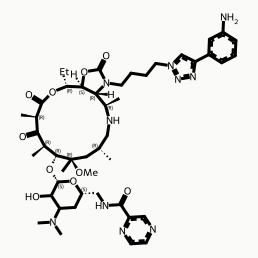 CC[C@H]1OC(=O)[C@H](C)C(=O)[C@H](C)[C@@H](O[C@@H]2O[C@H](CNC(=O)c3cnccn3)CC(N(C)C)C2O)[C@](C)(OC)C[C@@H](C)CN[C@H](C)[C@@H]2[C@@H]1OC(=O)N2CCCCn1cc(-c2cccc(N)c2)nn1